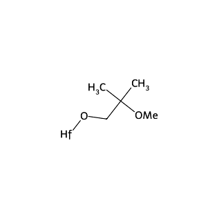 COC(C)(C)C[O][Hf]